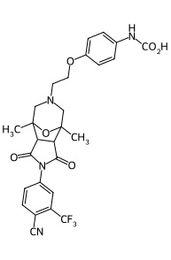 CC12CN(CCOc3ccc(NC(=O)O)cc3)CC(C)(O1)C1C(=O)N(c3ccc(C#N)c(C(F)(F)F)c3)C(=O)C12